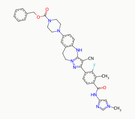 Cc1c(C(=O)Nc2cn(C)cn2)ccc(-c2nn3c(c2C#N)Nc2ccc(N4CCN(C(=O)OCc5ccccc5)CC4)cc2CC3)c1F